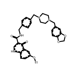 CCOc1ccc2[nH]cc(C(=O)NCc3ccc(CN4CCN(Cc5ccc6c(c5)OCO6)CC4)cc3)c(=O)c2c1